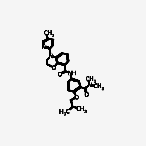 Cc1ccc(N2CCOc3c(C(=O)Nc4ccc(OCC(C)C)c(C(=O)N(C)C)c4)cccc32)nc1